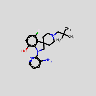 CC(C)(C)CN1CCC2(CC1)CN(c1ncccc1N)c1c(O)ccc(Cl)c12